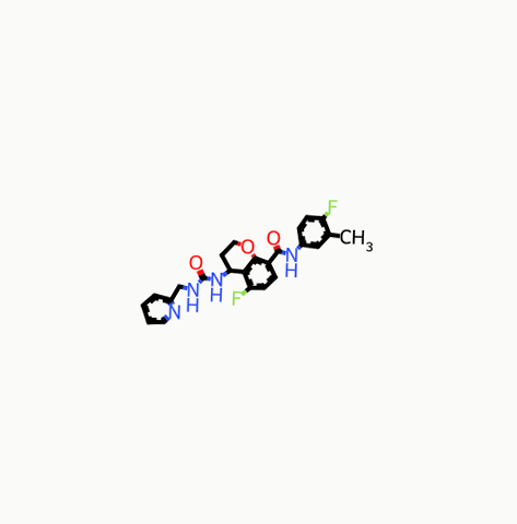 Cc1cc(NC(=O)c2ccc(F)c3c2OCCC3NC(=O)NCc2ccccn2)ccc1F